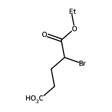 CCOC(=O)C(Br)CCC(=O)O